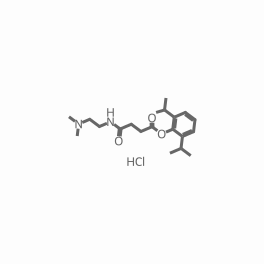 CC(C)c1cccc(C(C)C)c1OC(=O)CCC(=O)NCCN(C)C.Cl